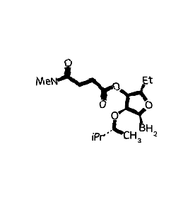 B[C@@H]1O[C@H](CC)C(OC(=O)CCC(=O)NC)[C@@H]1O[C@H](C)C(C)C